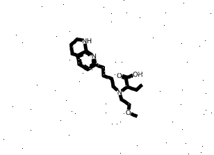 CCC(C(=O)O)N(CCCCc1ccc2c(n1)NCCC2)CCOC